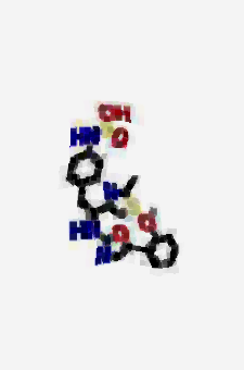 COc1ccccc1-c1cnc(N[C@@H](Cc2ccc(NS(=O)O)cc2)c2csc(C)n2)o1